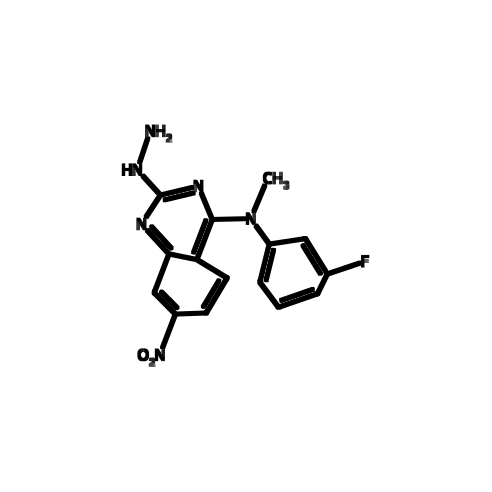 CN(c1cccc(F)c1)c1nc(NN)nc2cc([N+](=O)[O-])ccc12